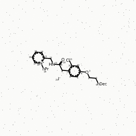 CCCCCCCCCCCCOc1ccc(CC(=O)NCc2cccc[n+]2CCC)c(Cl)c1.[I-]